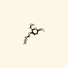 BC1CC=C(OCN=[N+]=[N-])[C@@H](CO)O1